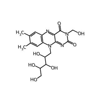 Cc1cc2nc3c(=O)n(CO)c(=O)nc-3n(CC(O)C(O)C(O)CO)c2cc1C